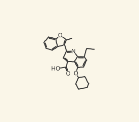 CCc1ccc(OC2CCCCC2)c2c(C(=O)O)cc(-c3c(C)oc4ccccc34)nc12